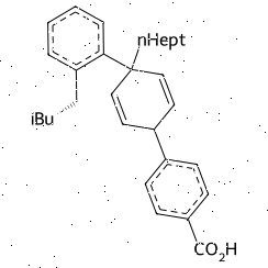 CCCCCCCC1(c2ccccc2C[C@@H](C)CC)C=CC(c2ccc(C(=O)O)cc2)C=C1